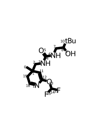 CC1(CNC(=O)NCC(O)C(C)(C)C)C=C(OC(F)F)N=CC1